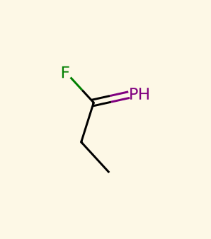 CCC(F)=P